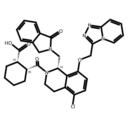 O=C(O)[C@H]1CCCC[C@H]1C(=O)N1CCc2c(Cl)ccc(OCc3nnc4ccccn34)c2[C@H]1CN1Cc2ccccc2C1=O